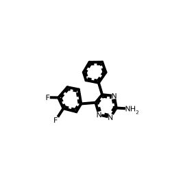 Nc1nnc(-c2ccc(F)c(F)c2)c(-c2ccccc2)n1